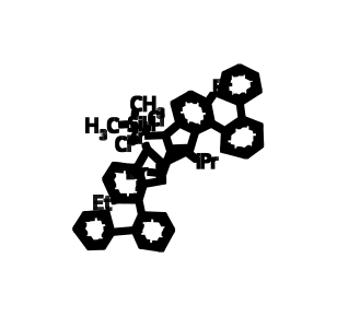 CCc1ccc2c(c1-c1ccccc1-c1ccccc1)C=C(CC(C)C)[CH]2[Zr]([Cl])([Cl])([CH]1C(CC(C)C)=Cc2c1ccc(CC)c2-c1ccccc1-c1ccccc1)[SiH](C)C